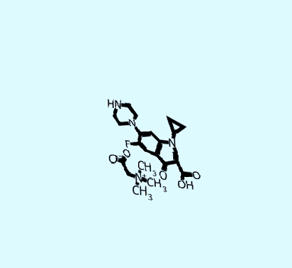 C[N+](C)(C)CC(=O)[O-].O=C(O)c1cn(C2CC2)c2cc(N3CCNCC3)c(F)cc2c1=O